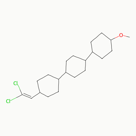 COC1CCC(C2CCC(C3CCC(C=C(Cl)Cl)CC3)CC2)CC1